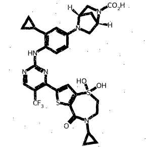 O=C1c2sc(-c3nc(Nc4ccc(N5C[C@@H]6C[C@H]5CN6C(=O)O)cc4C4CC4)ncc3C(F)(F)F)cc2S(O)(O)CCN1C1CC1